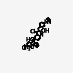 Cn1cccc1C(O)(c1ccc(Cl)cc1)c1ccc2nc(O)c(Cc3ccc(-n4cccn4)cc3)c(Cl)c2c1